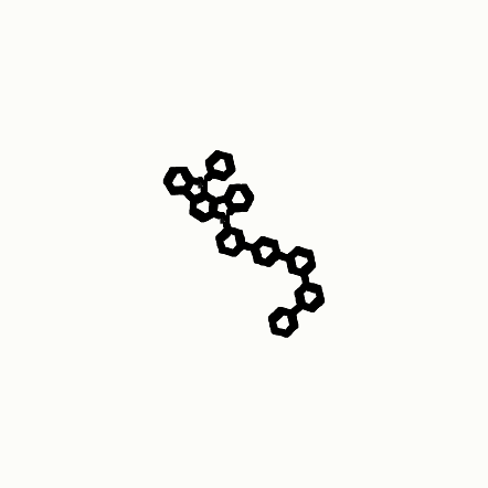 C1=CC(c2cccc(-c3cccc(-c4ccc(C5=CC(n6c7ccccc7c7c6ccc6c8ccccc8n(-c8ccccc8)c67)=CCC5)cc4)c3)c2)=CCC1